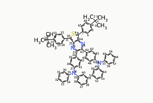 CC(C)(C)c1ccc(-c2sc(-c3ccc(C(C)(C)C)cc3)c3nc(-c4ccc(N(c5ccccc5)c5ccccc5)cc4)c(-c4ccc(N(c5ccccc5)c5ccccc5)cc4)nc23)cc1